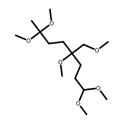 COCC(CCC(OC)OC)(CCC(C)(OC)OC)OC